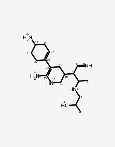 CC(O)CNC(C)C(C=N)C1CNC(N)=C(C2=CCC(N)CC2)C1